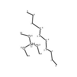 CCCSSSSCCC.CO[SiH](OC)OC